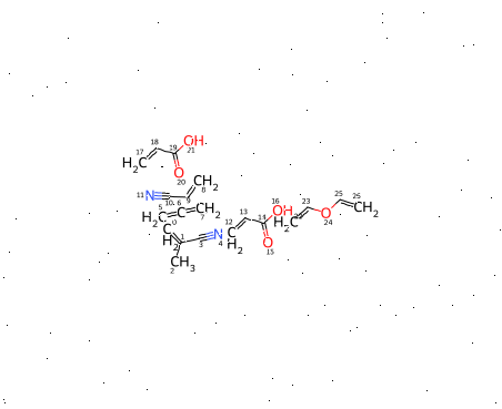 C=C(C)C#N.C=C=C.C=CC#N.C=CC(=O)O.C=CC(=O)O.C=COC=C